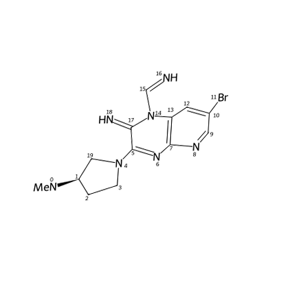 CN[C@@H]1CCN(c2nc3ncc(Br)cc3n(C=N)c2=N)C1